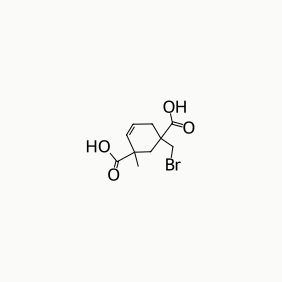 CC1(C(=O)O)C=CCC(CBr)(C(=O)O)C1